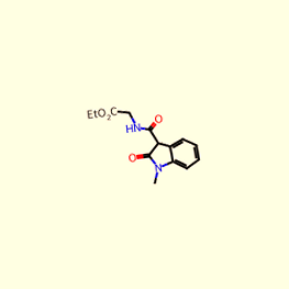 CCOC(=O)CNC(=O)[C]1C(=O)N(C)c2ccccc21